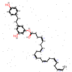 CC/C=C\C/C=C\C/C=C\C/C=C\C/C=C\C/C=C\CCC(=O)Oc1cc(O)cc(CCc2ccc(O)cc2)c1